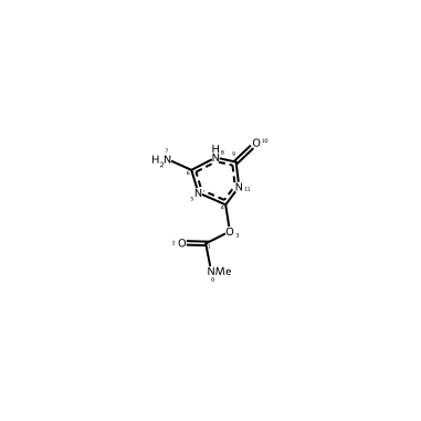 CNC(=O)Oc1nc(N)[nH]c(=O)n1